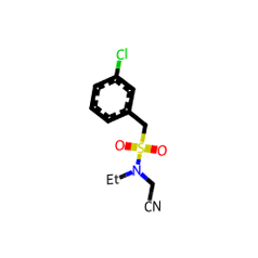 CCN(CC#N)S(=O)(=O)Cc1cccc(Cl)c1